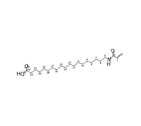 C=CC(=O)NCCCCCCCCCCCCCCCCCCC(=O)O